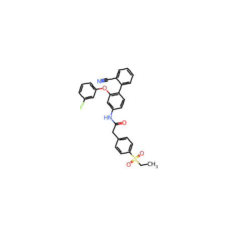 CCS(=O)(=O)c1ccc(CC(=O)Nc2ccc(-c3ccccc3C#N)c(Oc3cccc(F)c3)c2)cc1